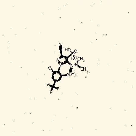 C=[N+](c1c(P(=O)(O)O)c(C#N)nn1-c1c(Cl)cc(C(F)(F)F)cc1Cl)N(C)C